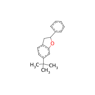 CC(C)(C)c1ccc2c(c1)OC(c1ccccc1)C2